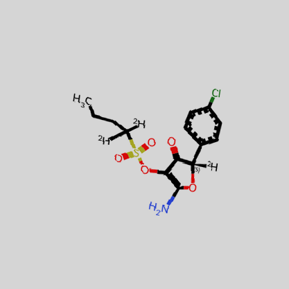 [2H]C([2H])(CCC)S(=O)(=O)OC1=C(N)O[C@@]([2H])(c2ccc(Cl)cc2)C1=O